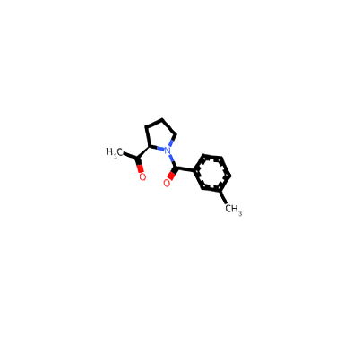 CC(=O)[C@H]1CCCN1C(=O)c1cccc(C)c1